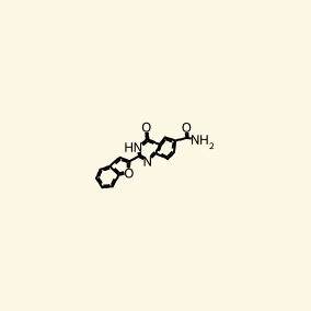 NC(=O)c1ccc2nc(-c3cc4ccccc4o3)[nH]c(=O)c2c1